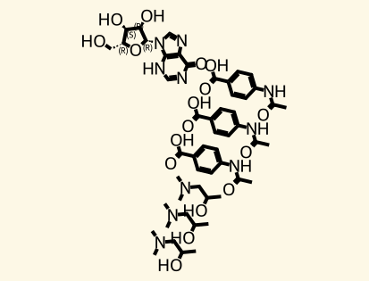 CC(=O)Nc1ccc(C(=O)O)cc1.CC(=O)Nc1ccc(C(=O)O)cc1.CC(=O)Nc1ccc(C(=O)O)cc1.CC(O)CN(C)C.CC(O)CN(C)C.CC(O)CN(C)C.O=c1nc[nH]c2c1ncn2[C@@H]1O[C@H](CO)[C@@H](O)[C@H]1O